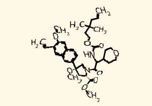 C=CCC(C)(C)CCOC(=O)NC(C(=O)N1C[C@](OC)(c2ccc3cc(OC)c(C=C)cc3c2)C[C@H]1C(=O)OC)C1CCOCC1